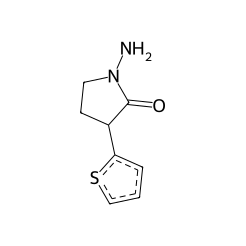 NN1CCC(c2cccs2)C1=O